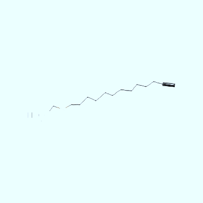 C#CCCCCCCCCCCCSCC(=O)O